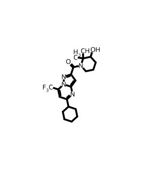 CC1(C)C(O)CCCN1C(=O)c1cc2nc(C3CCCCC3)cc(C(F)(F)F)n2n1